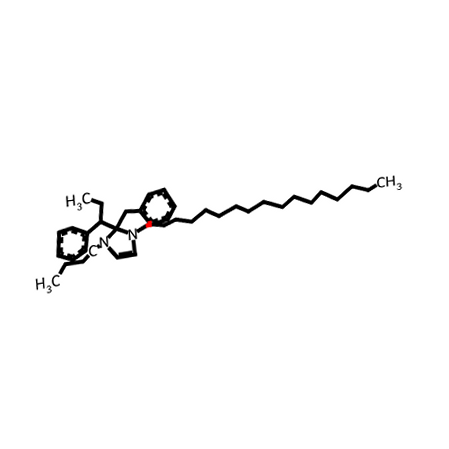 CCCCCCCCCCCCCCCCCN1C=CN(CCCC)C1(Cc1ccccc1)C(CC)c1ccccc1